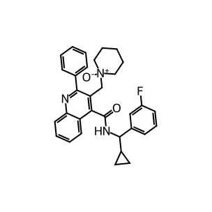 O=C(NC(c1cccc(F)c1)C1CC1)c1c(C[N+]2([O-])CCCCC2)c(-c2ccccc2)nc2ccccc12